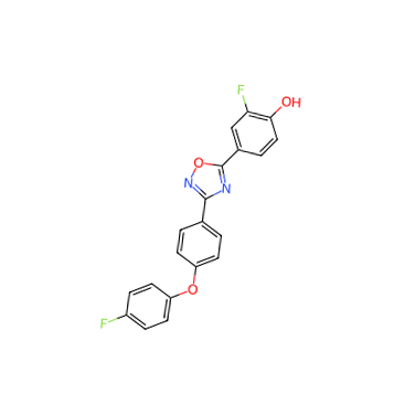 Oc1ccc(-c2nc(-c3ccc(Oc4ccc(F)cc4)cc3)no2)cc1F